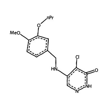 CCCOc1cc(CNc2cn[nH]c(=O)c2Cl)ccc1OC